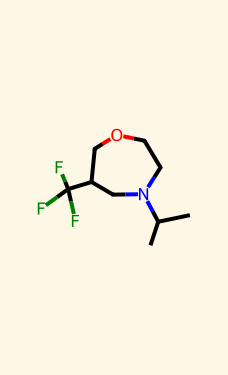 CC(C)N1CCOCC(C(F)(F)F)C1